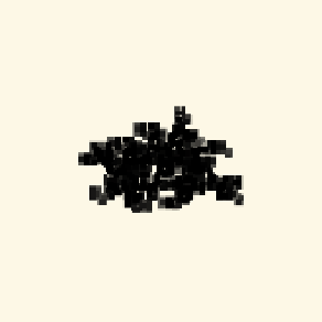 C[C@@H](O)[C@H](NC(=O)[C@H](CCN)NC(=O)[C@H](CCCNC(=N)N)NC(=O)[C@H](CC(N)=O)NC(=O)[C@H](CC(=O)O)NC(=O)[C@@H](N)Cc1ccc(O)cc1)C(=O)N[C@H](CCN)C(=O)N[C@@H](CCCCN)C(=O)N[C@@H](CCN)C(=O)N[C@@H](CCN)C(=O)N[C@@H](CCCNC(=N)N)C(=O)N[C@@H](Cc1ccc(O)cc1)C(=O)O